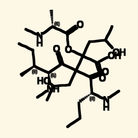 CCC[C@@H](NC)C(=O)C(CC(C)O)(C(=O)[C@@H](NC)[C@@H](C)CC)C(CC(C)O)(OC(=O)[C@@H](C)NC)C(=O)O